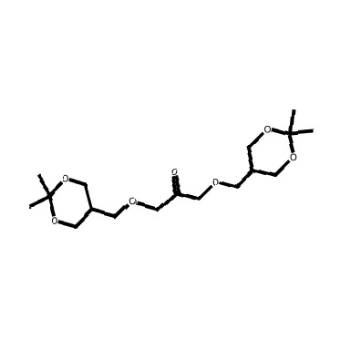 CC1(C)OCC(COCC(=O)COCC2COC(C)(C)OC2)CO1